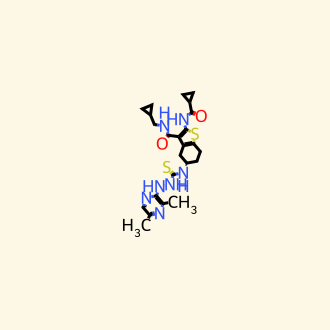 Cc1cnc(NNC(=S)N[C@H]2CCc3sc(NC(=O)C4CC4)c(C(=O)NCC4CC4)c3C2)c(C)n1